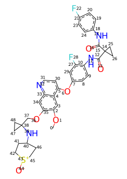 COc1cc2c(Oc3ccc(NC(=O)C4(C(=O)Nc5ccc(F)cc5)CC4)c(F)c3)ccnc2cc1OCC1(NC2CC[S+]([O-])CC2)CC1